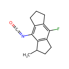 CC1CCc2c(F)c3c(c(N=C=O)c21)CCC3